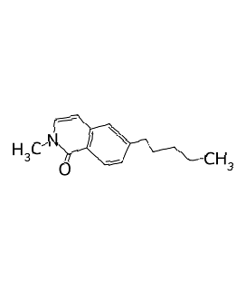 CCCCCc1ccc2c(=O)n(C)ccc2c1